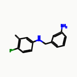 Cc1cc(NCc2cccc(N)c2)ccc1F